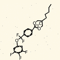 CCCCCC12COC(c3ccc(C(F)(F)Oc4cc(F)c(F)c(F)c4)cc3)(OC1)OC2